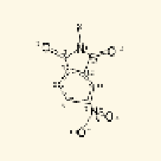 [CH2]N1C(=O)c2ccc([N+](=O)[O-])cc2C1=O